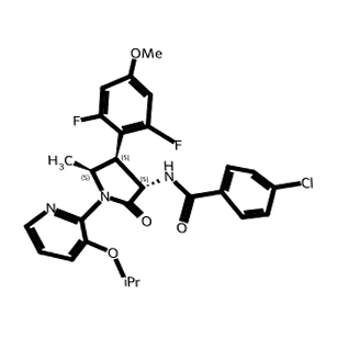 COc1cc(F)c([C@H]2[C@H](NC(=O)c3ccc(Cl)cc3)C(=O)N(c3ncccc3OC(C)C)[C@H]2C)c(F)c1